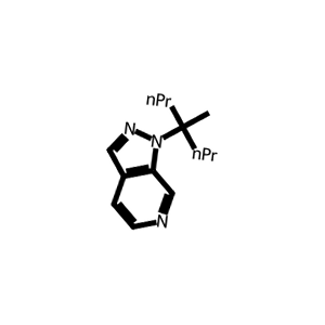 CCCC(C)(CCC)n1ncc2ccncc21